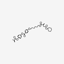 C=C(C)C(=O)Oc1ccc(OC(=O)c2ccc(OCCCCCCOC(=O)C(=C)CC(=O)OC3CCCCC3)cc2)cc1